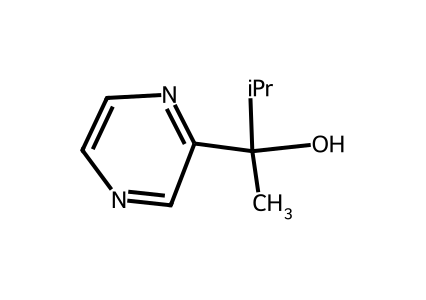 CC(C)C(C)(O)c1cnccn1